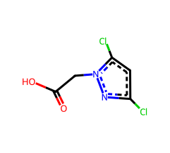 O=C(O)Cn1nc(Cl)cc1Cl